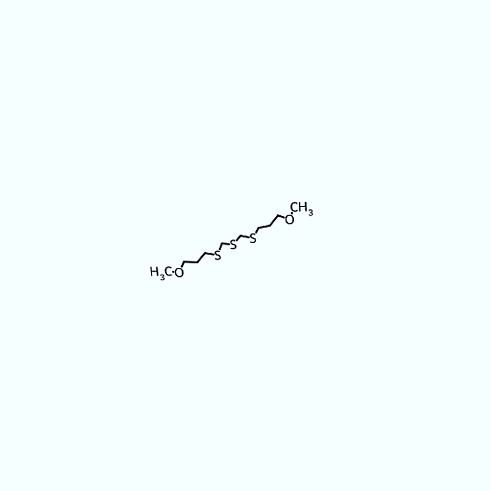 COCCCSCSCSCCCOC